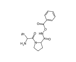 CC(C)C(N)C(=O)N1CCCC1C(=O)NOC(=O)c1ccccc1